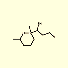 CCCC(S)[Si]1(C)CCCC(C)O1